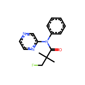 CC(C)(CF)C(=O)N(c1ccccc1)c1cnccn1